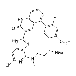 CNCCCN(C)c1nc(Cl)cc2[nH]c(-c3cc4c(-c5ccc(C(=O)O)cc5F)nccc4[nH]c3=O)nc12